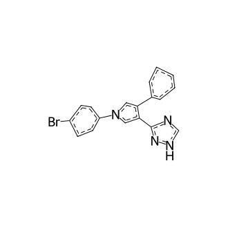 Brc1ccc(-n2cc(-c3ccccc3)c(-c3nc[nH]n3)c2)cc1